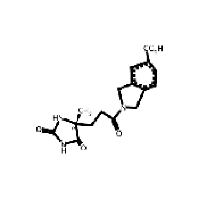 C[C@]1(CCC(=O)N2Cc3ccc(C(=O)O)cc3C2)NC(=O)NC1=O